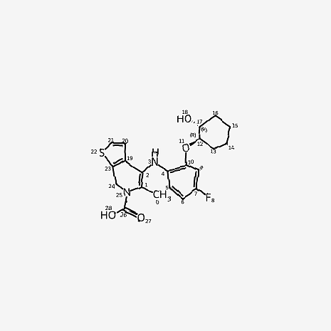 CC1=C(Nc2ccc(F)cc2O[C@@H]2CCCC[C@H]2O)c2ccsc2CN1C(=O)O